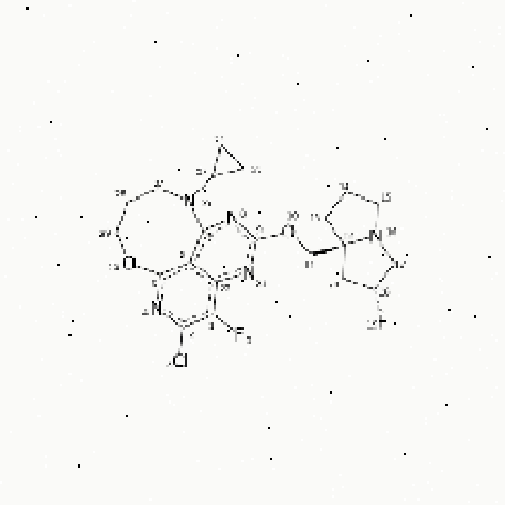 Fc1c(Cl)nc2c3c(nc(OC[C@@]45CCCN4C[C@H](F)C5)nc13)N(C1CC1)CCCO2